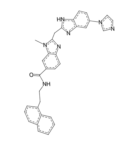 Cn1c(Cc2nc3cc(-n4ccnc4)ccc3[nH]2)nc2ccc(C(=O)NCCc3cccc4ccccc34)cc21